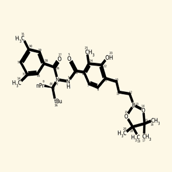 CCC[C@@H](N(NC(=O)c1ccc(CCCB2OC(C)(C)C(C)(C)O2)c(O)c1C)C(=O)c1cc(C)cc(C)c1)C(C)(C)C